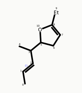 C/C=C/C(C)C1CC=C(CC)O1